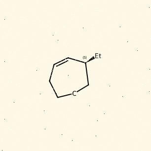 CC[C@@H]1C=CCCCC1